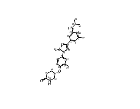 Cc1cc(C2=NC(c3ccc(O[C@H]4CCC(=O)NC4)c(C)n3)N(C)O2)cc(NC(C)C)n1